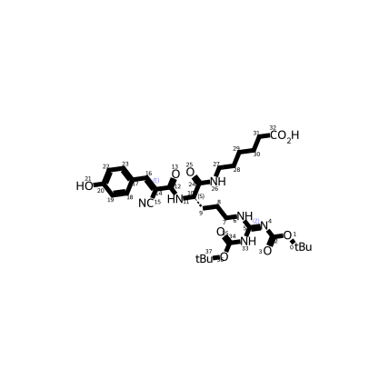 CC(C)(C)OC(=O)/N=C(/NCCC[C@H](NC(=O)/C(C#N)=C/c1ccc(O)cc1)C(=O)NCCCCCC(=O)O)NC(=O)OC(C)(C)C